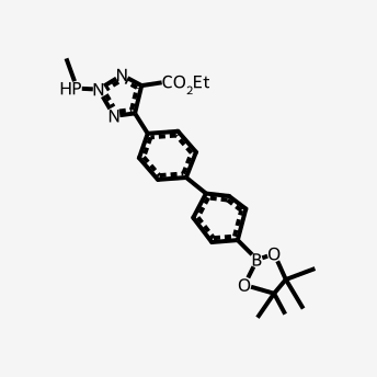 CCOC(=O)c1nn(PC)nc1-c1ccc(-c2ccc(B3OC(C)(C)C(C)(C)O3)cc2)cc1